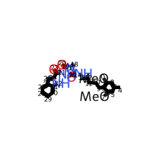 COc1cc(C)cc(OC)c1CCCCCNC(=O)N(C)C(=O)NC(=O)c1cc2ccccc2[nH]1